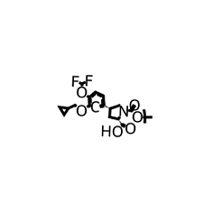 CC(C)(C)OC(=O)N1C[C@@H](c2ccc(OC(F)F)c(OCC3CC3)c2)C[C@H]1C(=O)O